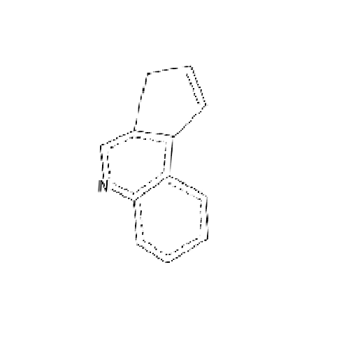 C1=Cc2c(cnc3ccccc23)C1